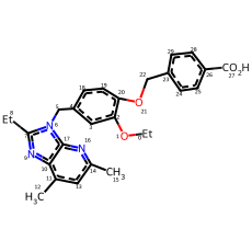 CCOc1cc(Cn2c(CC)nc3c(C)cc(C)nc32)ccc1OCc1ccc(C(=O)O)cc1